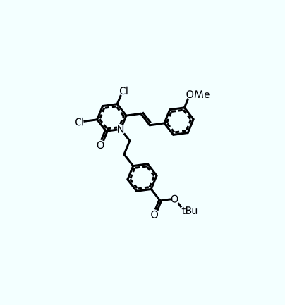 COc1cccc(C=Cc2c(Cl)cc(Cl)c(=O)n2CCc2ccc(C(=O)OC(C)(C)C)cc2)c1